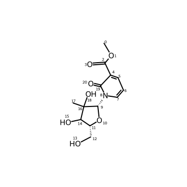 COC(=O)c1cccn([C@@H]2O[C@H](CO)C(O)C2(C)O)c1=O